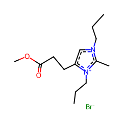 CCCn1cc(CCC(=O)OC)[n+](CCC)c1C.[Br-]